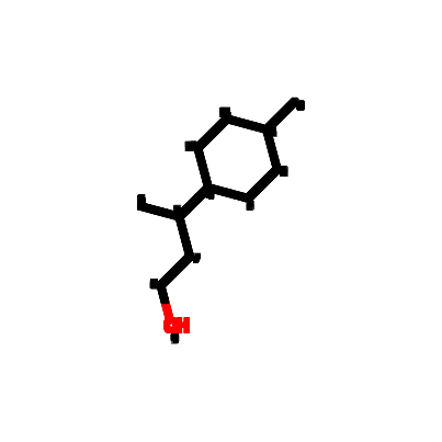 CC1CCC(C(C)CCO)CC1